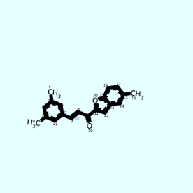 Cc1cc(C)cc(/C=C/C(=O)c2cc3cc(C)ccc3o2)c1